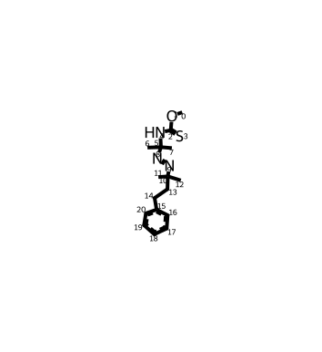 COC(=S)NC(C)(C)/N=N/C(C)(C)CCc1ccccc1